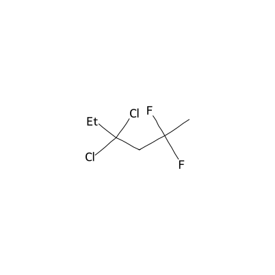 CCC(Cl)(Cl)CC(C)(F)F